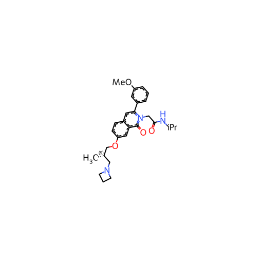 COc1cccc(-c2cc3ccc(OC[C@@H](C)CN4CCC4)cc3c(=O)n2CC(=O)NC(C)C)c1